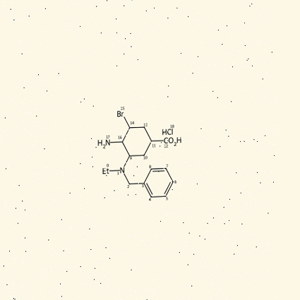 CCN(Cc1ccccc1)C1CC(C(=O)O)CC(Br)C1N.Cl